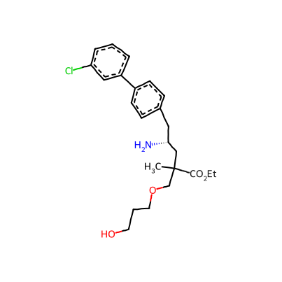 CCOC(=O)C(C)(COCCCO)C[C@H](N)Cc1ccc(-c2cccc(Cl)c2)cc1